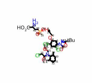 C#CCOc1cc(-n2nc(C(C)(C)C)oc2=O)c(Cl)cc1Cl.CCOCN(C(=O)CCl)c1c(C)cccc1CC.CP(=O)(O)CCC(N)C(=O)O